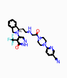 N#Cc1ccc(N2CCN(C(=O)CNCC[C@@H]3c4ccccc4CN3c3cn[nH]c(=O)c3C(F)(F)F)CC2)nc1